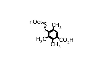 CCCCCCCCSSc1c(C)cc(C(=O)O)c(C)c1C